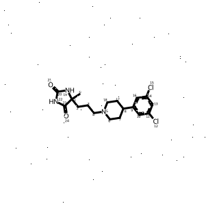 CC1(CCCN2CCC(c3cc(Cl)cc(Cl)c3)CC2)NC(=O)NC1=O